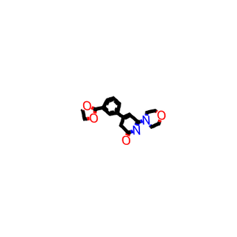 O=C1CC(c2cccc(C3OCCO3)c2)=CC(N2CCOCC2)=N1